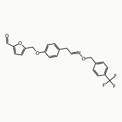 O=Cc1ccc(COc2ccc(CC=NOCc3ccc(C(F)(F)F)cc3)cc2)o1